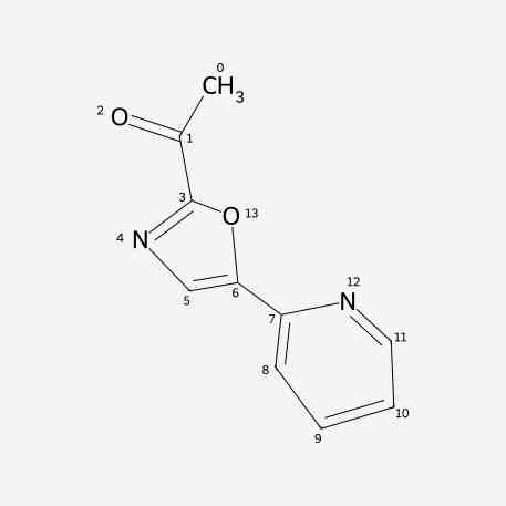 CC(=O)c1ncc(-c2ccccn2)o1